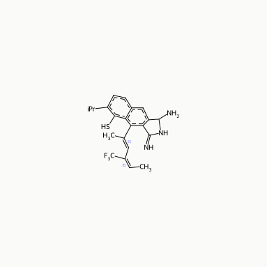 C/C=C(\C=C(/C)c1c2c(cc3ccc(C(C)C)c(S)c13)C(N)NC2=N)C(F)(F)F